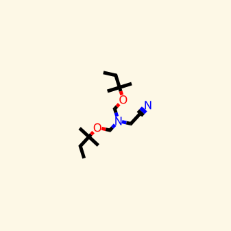 CCC(C)(C)OCN(CC#N)COC(C)(C)CC